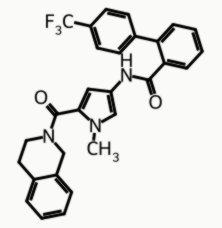 Cn1cc(NC(=O)c2ccccc2-c2ccc(C(F)(F)F)cc2)cc1C(=O)N1CCc2ccccc2C1